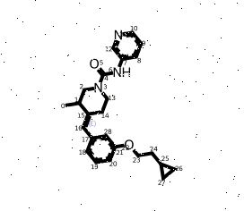 CC1CN(C(=O)Nc2cccnc2)CC/C1=C\c1cccc(OCCC2CC2)c1